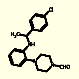 CC(Nc1ccccc1N1CCN(C=O)CC1)c1ccc(Cl)cc1